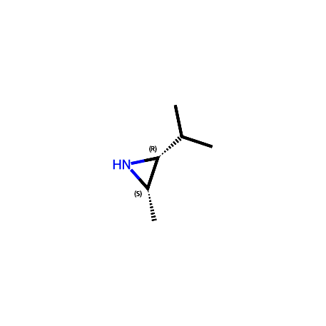 CC(C)[C@H]1N[C@H]1C